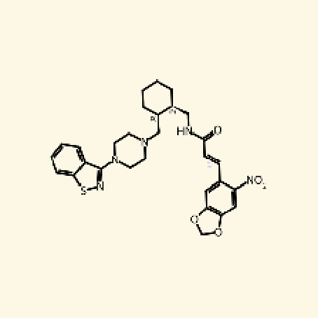 O=C(/C=C/c1cc2c(cc1[N+](=O)[O-])OCO2)NC[C@@H]1CCCC[C@@H]1CN1CCN(c2nsc3ccccc23)CC1